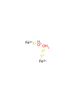 O.O.[Fe+3].[Fe+3].[S-2].[S-2].[S-2]